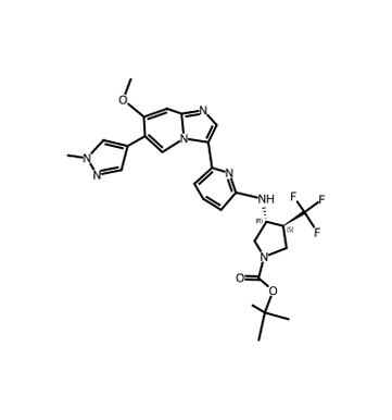 COc1cc2ncc(-c3cccc(N[C@H]4CN(C(=O)OC(C)(C)C)C[C@@H]4C(F)(F)F)n3)n2cc1-c1cnn(C)c1